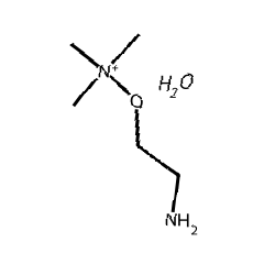 C[N+](C)(C)OCCN.O